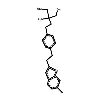 Cc1ccc2cc(CCc3ccc(CCC(N)(CO)CO)cc3)oc2c1